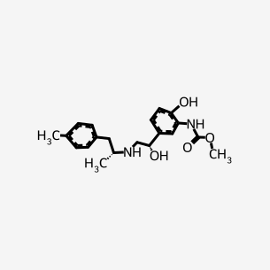 COC(=O)Nc1cc([C@H](O)CN[C@H](C)Cc2ccc(C)cc2)ccc1O